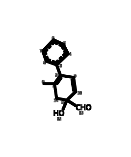 CC1=C(c2ccccc2)C=CC(O)(C=O)C1